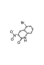 O=c1[nH]c2cccc(Br)c2cc1[N+](=O)[O-]